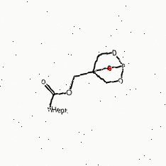 CCCCCCCC(=O)OCC12COP(OC1)OC2